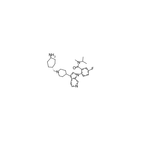 CC(C)N(C)C(=O)c1cc(F)ccc1-n1cc(C2CCN(C[C@H]3CC[C@H](N)CC3)CC2)c2ccncc21